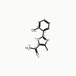 Cc1nc(-c2ccccc2Cl)oc1C(N)=O